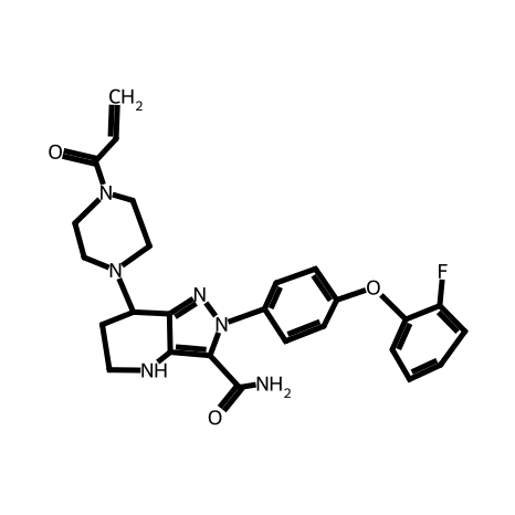 C=CC(=O)N1CCN(C2CCNc3c2nn(-c2ccc(Oc4ccccc4F)cc2)c3C(N)=O)CC1